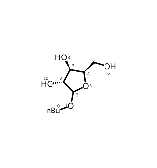 CCCCOC1O[C@H](CO)[C@H](O)[C@H]1O